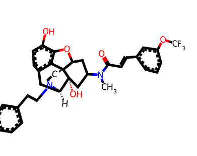 CN(C(=O)/C=C/c1cccc(OC(F)(F)F)c1)C1CC2Oc3c(O)ccc4c3[C@@]23CCN(CCc2ccccc2)[C@H](C4)[C@]3(O)C1